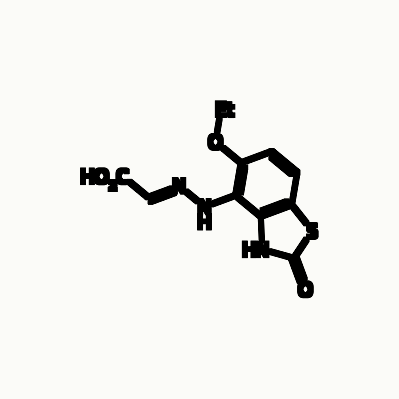 CCOc1ccc2sc(=O)[nH]c2c1NN=CC(=O)O